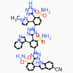 Cn1ccc(-c2c(-n3nnc(-c4c(-c5cnn6ccccc56)cc(-n5nnc(-c6c(-c7cc8cc(C#N)ccc8[nH]7)cccc6S(N)(=O)=O)n5)cc4S(N)(=O)=O)n3)ccc(S(N)(=O)=O)c2-c2nn[nH]n2)n1